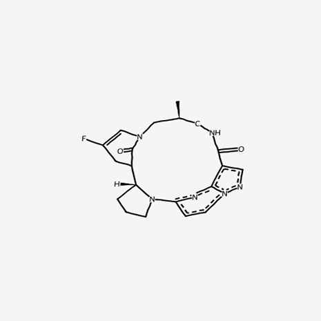 C[C@H]1CNC(=O)c2cnn3ccc(nc23)N2CCC[C@@H]2C2CC(F)=CN(C1)C2=O